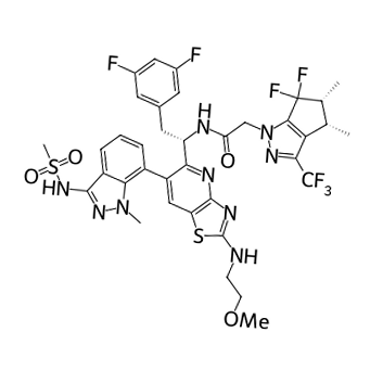 COCCNc1nc2nc([C@H](Cc3cc(F)cc(F)c3)NC(=O)Cn3nc(C(F)(F)F)c4c3C(F)(F)[C@H](C)[C@@H]4C)c(-c3cccc4c(NS(C)(=O)=O)nn(C)c34)cc2s1